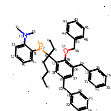 CCCCC(CC)(Pc1ccccc1N(C)C)c1cc(Cc2ccccc2)cc(Cc2ccccc2)c1OCc1ccccc1